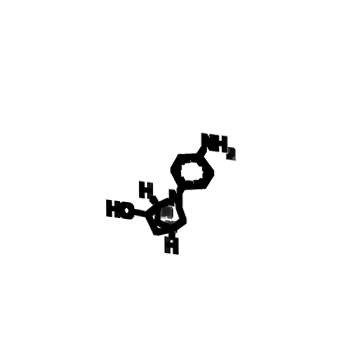 Nc1ccc(N2C[C@@H]3CC(O)[C@H]2C3)cc1